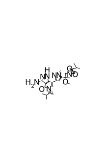 COC1(c2cc(-c3cn([C@@H](C)C(C)C)c(=O)c4c(N)n[nH]c34)nn2C)CN(S(=O)(=O)C(C)C)C1